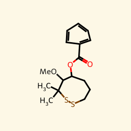 COC1C(OC(=O)c2ccccc2)CCCSSC1(C)C